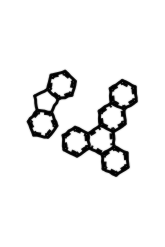 c1ccc2c(c1)Cc1ccccc1-2.c1ccc2cc3c4ccccc4c4ccccc4c3cc2c1